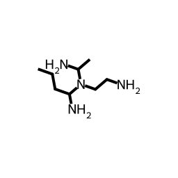 CCCC(N)N(CCN)C(C)N